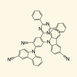 N#Cc1ccc2c(c1)c1ccccc1n2-c1cc(-n2c3ccccc3c3cc(C#N)ccc32)c(-c2nc(-c3ccccc3)nc(-c3ccccc3)n2)cc1C#N